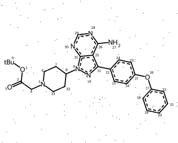 CC(C)(C)OC(=O)CN1CCC(n2nc(-c3ccc(Oc4ccccc4)cc3)c3c(N)ncnc32)CC1